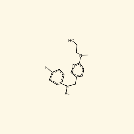 CC(=O)N(Cc1ccc(N(C)CCO)nc1)c1ccc(F)cc1